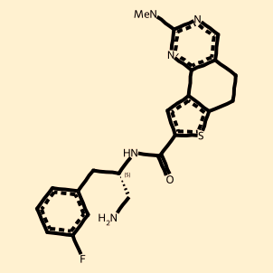 CNc1ncc2c(n1)-c1cc(C(=O)N[C@H](CN)Cc3cccc(F)c3)sc1CC2